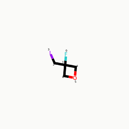 FC1(CI)COC1